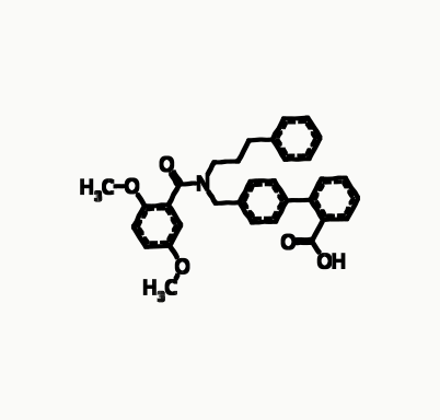 COc1ccc(OC)c(C(=O)N(CCCc2ccccc2)Cc2ccc(-c3ccccc3C(=O)O)cc2)c1